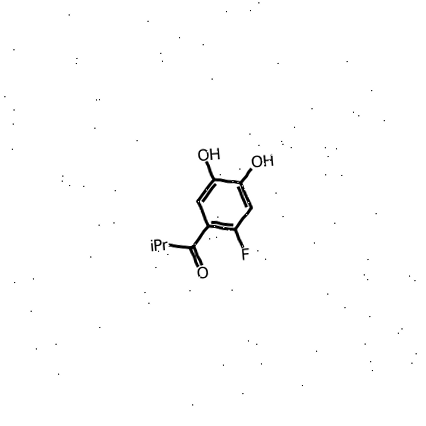 CC(C)C(=O)c1cc(O)c(O)cc1F